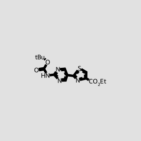 CCOC(=O)c1csc(-c2cnc(NC(=O)OC(C)(C)C)nc2)n1